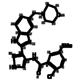 CSc1ccc(Cl)c(C(=O)Nc2c[nH]nc2-c2nc3cc(CN4CCOCC4)ccc3[nH]2)c1